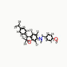 COc1ccc(CN(C)c2c(C)c(C)c3c(c2C)OC(C)(C)C3c2ccc(C(C)C)cc2)cc1